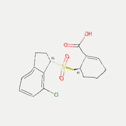 O=C(O)C1=CCCC[C@H]1S(=O)(=O)[C@H]1CCc2cccc(Cl)c21